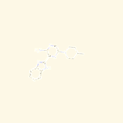 CC1CCN(c2cnc(N)c(-c3nc4ccccc4[nH]3)n2)CC1